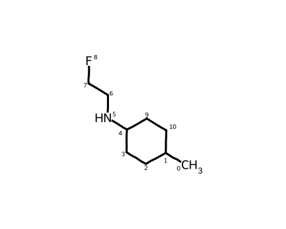 CC1CCC(NCCF)CC1